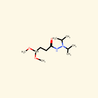 CO[SiH](CCC(=O)NN(C(C)C)C(C)C)OC